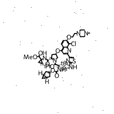 COC(=O)C1(NC(=O)[C@@H]2CC(Oc3cc(-c4csc(NC(C)C)n4)nc4c(Cl)c(OCCN5CCN(C)CC5)ccc34)CN2C(=O)[C@@H](NC(=O)O[C@@H]2C[C@@H]3C[C@@H]3C2)C(C)(C)C)C[C@H]1C(C)C